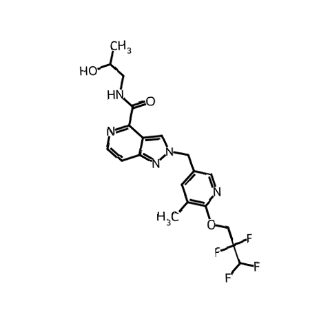 Cc1cc(Cn2cc3c(C(=O)NCC(C)O)nccc3n2)cnc1OCC(F)(F)C(F)F